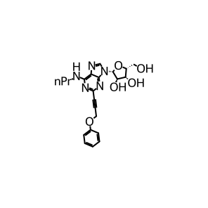 CCCNc1nc(C#CCOc2ccccc2)nc2c1ncn2[C@@H]1O[C@H](CO)[C@H](O)[C@H]1O